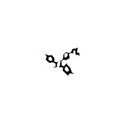 Cc1ccc(-c2ccc(-c3nc(-c4ccc(C(=O)O)cc4)c(N)nc3-c3ccc(C(=O)O)cc3)cc2)s1